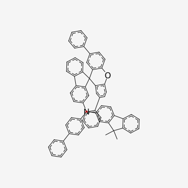 CC1(C)c2ccccc2-c2ccc(N(c3ccc(-c4ccccc4)cc3)c3ccc4c(c3)C3(c5cc(-c6ccccc6)ccc5Oc5ccc(-c6ccccc6)cc53)c3ccccc3-4)cc21